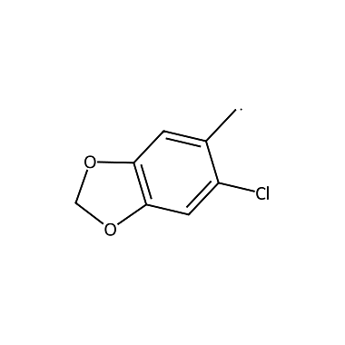 [CH2]c1cc2c(cc1Cl)OCO2